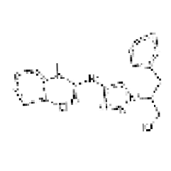 O=C([N-]c1c[n+](C(CO)Cc2ccccc2)no1)Nc1ccccc1Cl